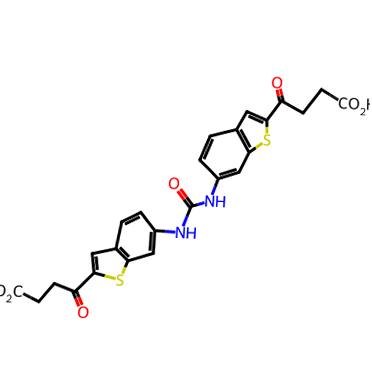 O=C(O)CCC(=O)c1cc2ccc(NC(=O)Nc3ccc4cc(C(=O)CCC(=O)O)sc4c3)cc2s1